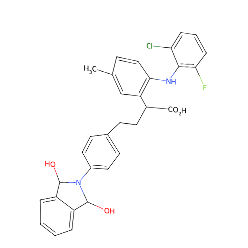 Cc1ccc(Nc2c(F)cccc2Cl)c(C(CCc2ccc(N3C(O)c4ccccc4C3O)cc2)C(=O)O)c1